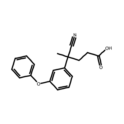 CC(C#N)(CCC(=O)O)c1cccc(Oc2ccccc2)c1